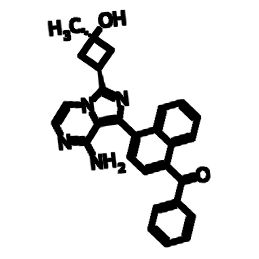 C[C@]1(O)C[C@@H](c2nc(-c3ccc(C(=O)c4ccccc4)c4ccccc34)c3c(N)nccn32)C1